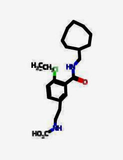 O=C(O)NCCc1ccc(Cl)c(C(=O)NC[C]2CCCCCCC2)c1.[CH2].[CH2]